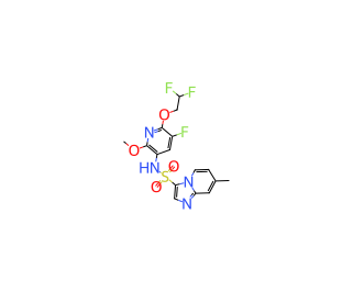 COc1nc(OCC(F)F)c(F)cc1NS(=O)(=O)c1cnc2cc(C)ccn12